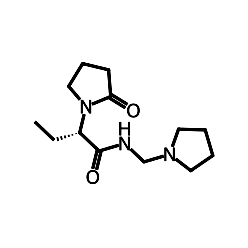 CC[C@@H](C(=O)NCN1CCCC1)N1CCCC1=O